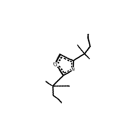 CCC(C)(C)c1coc(C(C)(C)CC)n1